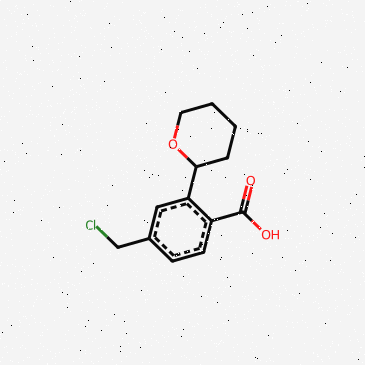 O=C(O)c1ccc(CCl)cc1C1CCCCO1